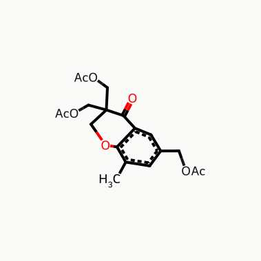 CC(=O)OCc1cc(C)c2c(c1)C(=O)C(COC(C)=O)(COC(C)=O)CO2